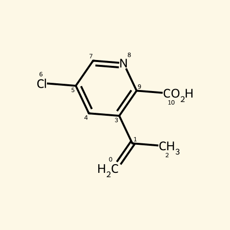 C=C(C)c1cc(Cl)cnc1C(=O)O